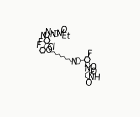 CCC(=O)N1CCN(c2ncnc3c(F)c(-c4c(F)cccc4OCCCCCCCCCN4CCC(c5cc(F)cc6c5CN(C5CCC(=O)NC5=O)C6=O)CC4)c(Cl)cc23)CC1